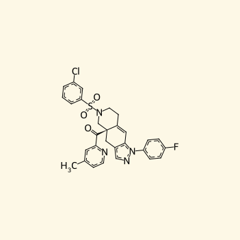 Cc1ccnc(C(=O)[C@]23Cc4cnn(-c5ccc(F)cc5)c4C=C2CCN(S(=O)(=O)c2cccc(Cl)c2)C3)c1